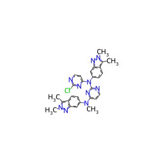 Cc1c2ccc(N(C)c3ccnc(N(c4ccc5c(C)n(C)nc5c4)c4ccnc(Cl)n4)n3)cc2nn1C